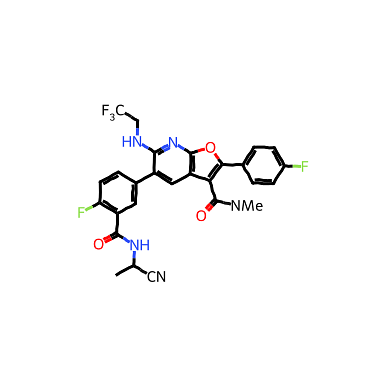 CNC(=O)c1c(-c2ccc(F)cc2)oc2nc(NCC(F)(F)F)c(-c3ccc(F)c(C(=O)NC(C)C#N)c3)cc12